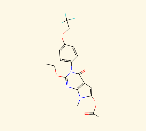 CCOc1nc2c(cc(OC(C)=O)n2C)c(=O)n1-c1ccc(OCC(F)(F)F)cc1